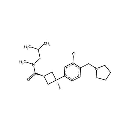 CC(C)CN(C)C(=O)[C@H]1C[C@@](F)(c2ccc(CN3CCCC3)c(Cl)c2)C1